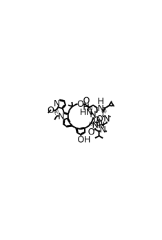 CCn1c(-c2cccnc2[C@H](C)OC)c2c3cc(ccc31)-c1cc(O)cc(c1)C[C@H](NC(=O)C(C(C)C)N(C)C(=O)CN(C)C(=O)[C@H]1NC1C1CC1)C(=O)N1CCC[C@H](N1)C(=O)OCC(C)(C)C2